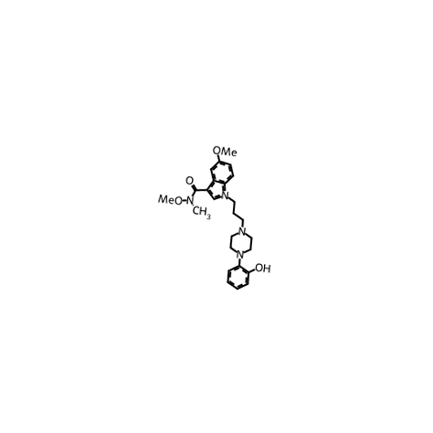 COc1ccc2c(c1)c(C(=O)N(C)OC)cn2CCCN1CCN(c2ccccc2O)CC1